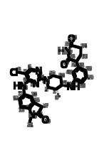 C[C@@H]1CN(c2ncc(Cl)c(Nc3ccc4c(c3)CC(=O)N4C)n2)CC[C@H]1Nc1cccc(C2CCC(=O)NC2=O)c1